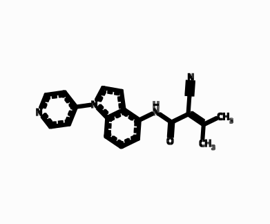 CC(C)=C(C#N)C(=O)Nc1cccc2c1ccn2-c1ccncc1